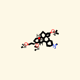 CN(C)c1ccc2c(c1)C[C@]13CC=C(O[Si](C)(C)C)C=C1CC[C@@H]1[C@@H]3[C@@H]2C[C@@]2(C)[C@@H]1CC[C@@]2(CCCO[Si](C)(C)C)O[Si](C)(C)C